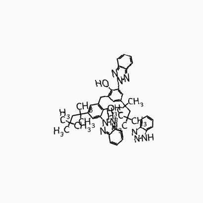 CC(C)(C)CC(C)(C)c1cc(Cc2cc(C(C)(C)CC(C)(C)C)cc(-n3nc4ccccc4n3)c2O)c(O)c(-n2nc3ccccc3n2)c1.c1ccc2[nH]nnc2c1